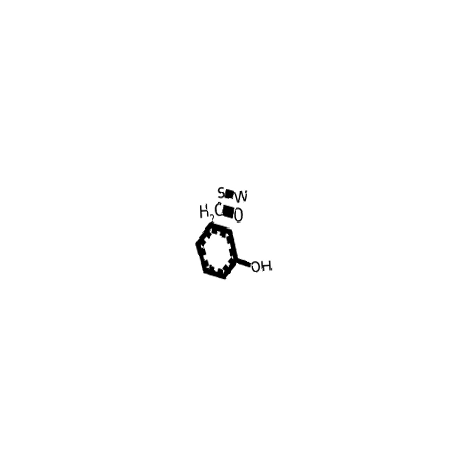 C=O.Oc1ccccc1.[S]=[W]